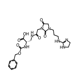 O=C(CN1C(=O)CN(CCCNC2=NCCN2)C1=O)NC[C@H](NC(=O)OCc1ccccc1)C(=O)O